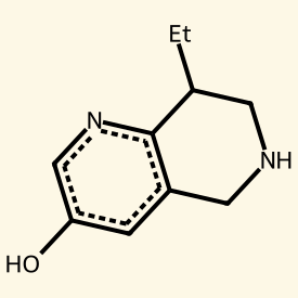 CCC1CNCc2cc(O)cnc21